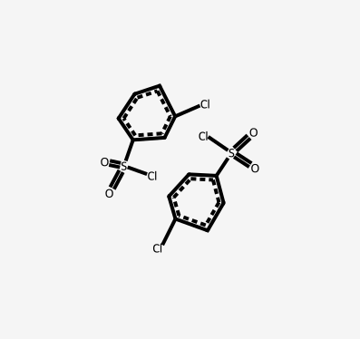 O=S(=O)(Cl)c1ccc(Cl)cc1.O=S(=O)(Cl)c1cccc(Cl)c1